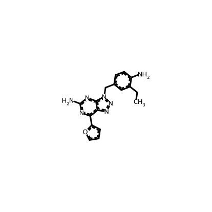 CCc1cc(Cn2nnc3c(-c4ccco4)nc(N)nc32)ccc1N